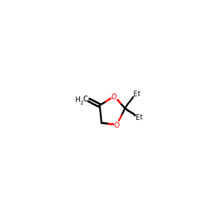 C=C1COC(CC)(CC)O1